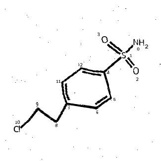 NS(=O)(=O)c1ccc(CCCl)cc1